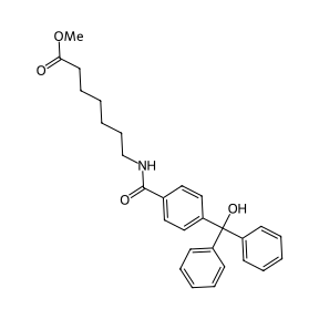 COC(=O)CCCCCCNC(=O)c1ccc(C(O)(c2ccccc2)c2ccccc2)cc1